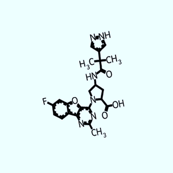 Cc1nc(N2CC(NC(=O)C(C)(C)c3cn[nH]c3)CC2C(=O)O)c2oc3cc(F)ccc3c2n1